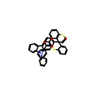 c1ccc(-c2cccc3c2Sc2ccccc2C32c3ccccc3Sc3cccc(-c4ccc5c(c4)c4ccccc4n5-c4ccccc4)c32)cc1